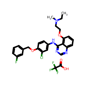 CCN(C)CCOc1cccc2ncnc(Nc3ccc(OCc4cccc(F)c4)c(Cl)c3)c12.O=C(O)C(F)(F)F